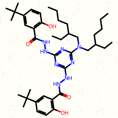 CCCCC(CC)CN(CC(CC)CCCC)c1nc(NNC(=O)c2cc(C(C)(C)C)ccc2O)nc(NNC(=O)c2cc(C(C)(C)C)ccc2O)n1